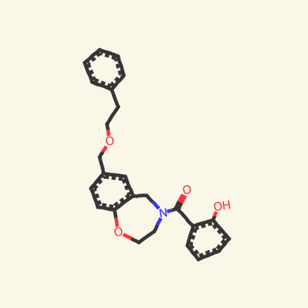 O=C(c1ccccc1O)N1CCOc2ccc(COCCc3ccccc3)cc2C1